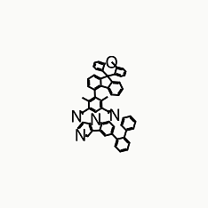 Cc1c(C#N)c(-n2c3ccncc3c3cc(-c4ccccc4-c4ccccc4)ccc32)c(C#N)c(C)c1-c1cccc2c1-c1ccccc1C21c2ccccc2Oc2ccccc21